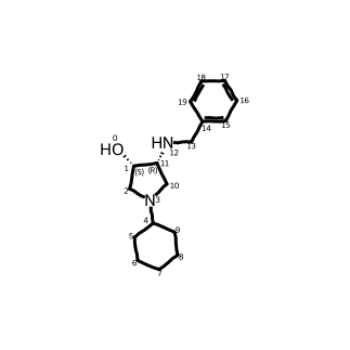 O[C@H]1CN(C2CCCCC2)C[C@H]1NCc1ccccc1